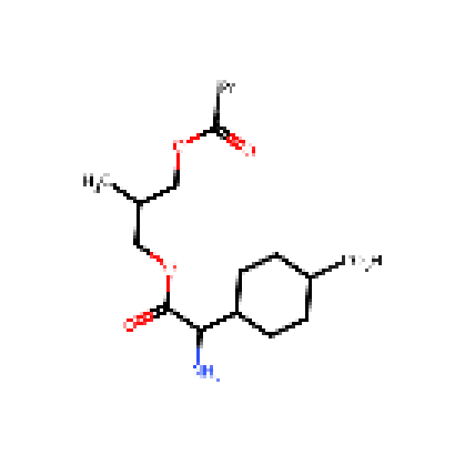 CC(COC(=O)C(C)C)COC(=O)C(N)C1CCC(C(=O)O)CC1